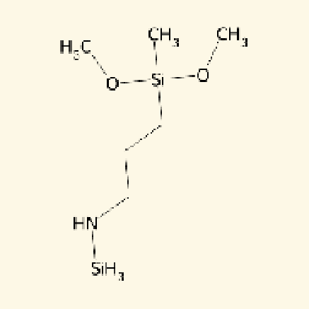 CO[Si](C)(CCCN[SiH3])OC